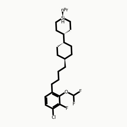 CCC[Si@H]1CC[C@H]([C@H]2CC[C@H](CCCCc3ccc(Cl)c(F)c3OC(F)F)CC2)CC1